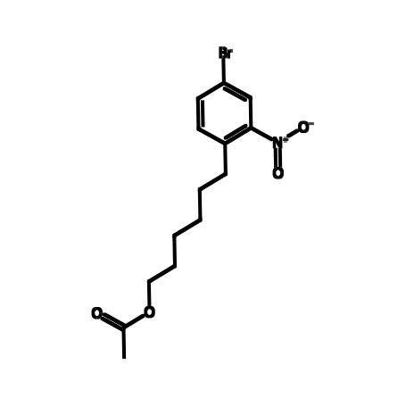 CC(=O)OCCCCCCc1ccc(Br)cc1[N+](=O)[O-]